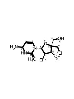 C=C1NC(N)C=CN1[C@@H]1O[C@@](CO)(CCl)[C@@H](O)[C@H]1Cl